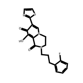 O=C1c2c(O)c(=O)c(-c3nccs3)cn2CCN1CCCc1ccccc1F